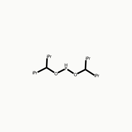 CC(C)C(OPOC(C(C)C)C(C)C)C(C)C